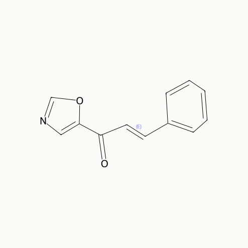 O=C(/C=C/c1ccccc1)c1cnco1